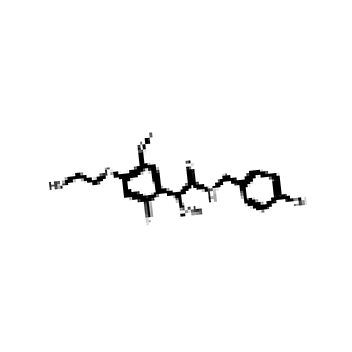 CCOc1cc(C(OC)C(=O)NCc2ccc(C#N)cc2)c(F)cc1OCCO